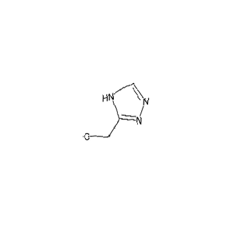 [O]Cc1nnc[nH]1